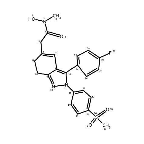 CN(O)C(=O)CC1=Cc2c(nn(-c3ccc(S(C)(=O)=O)cc3)c2-c2ccc(F)cc2)CC1